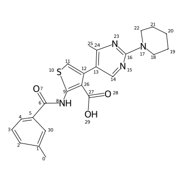 Cc1cccc(C(=O)Nc2scc(-c3cnc(N4CCCCC4)nc3C)c2C(=O)O)c1